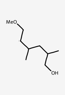 COC[CH]C(C)CC(C)CO